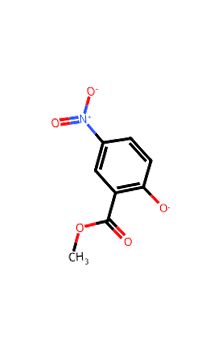 COC(=O)c1cc([N+](=O)[O-])ccc1[O]